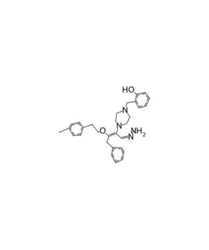 Cc1ccc(CCO/C(Cc2ccccc2)=C(/C=N\N)N2CCN(Cc3ccccc3O)CC2)cc1